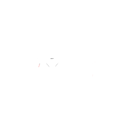 CC(C)(O)C(=O)c1ccc(OCCOC(CO)C(O)CO)cc1